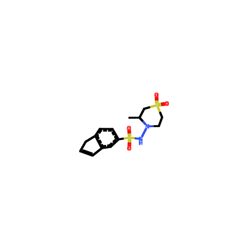 CC1CS(=O)(=O)CCN1NS(=O)(=O)c1ccc2c(c1)C=CC2